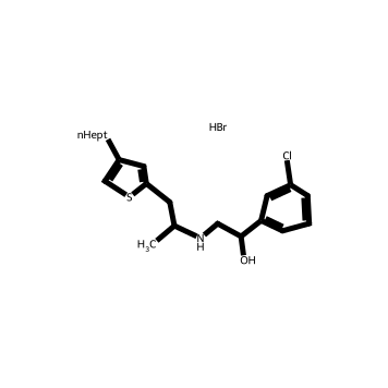 Br.CCCCCCCc1csc(CC(C)NCC(O)c2cccc(Cl)c2)c1